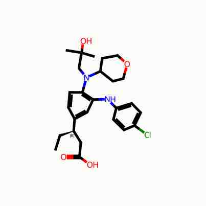 CC[C@H](CC(=O)O)c1ccc(N(CC(C)(C)O)C2CCOCC2)c(Nc2ccc(Cl)cc2)c1